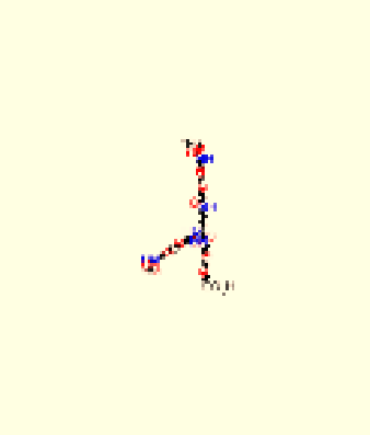 CC(C)(C)OC(=O)NCCOCCOCCC(=O)NCCCC[C@@H](NC(=O)CCOCCOCCNC(=O)OC(C)(C)C)C(=O)NCCOCCOCCC(=O)O